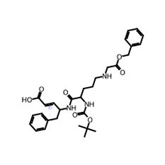 CC(C)(C)OC(=O)NC(CCCNCC(=O)OCc1ccccc1)C(=O)NC(/C=C/C(=O)O)Cc1ccccc1